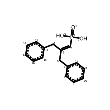 O=P(O)(O)C=C(Cc1ccccc1)Cc1ccccc1